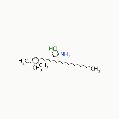 C=Cc1ccc(CCCCCCCCCCCCCCCCCC)c(C)c1C.Cl.Nc1ccccc1